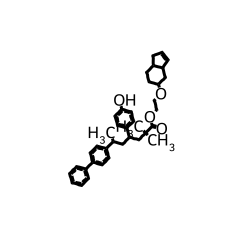 CC(CC(CC(C)(C)C(=O)OCCOC1CCC2CC=CC2C1)c1ccc(O)cc1)c1ccc(-c2ccccc2)cc1